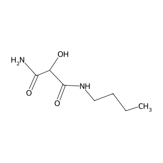 CCCCNC(=O)C(O)C(N)=O